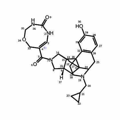 O=C1N/C=C(/C(=O)N2C[C@H]3CC45CCC2C3C42CCN(CC3CC3)C5Cc3ccc(O)cc32)COCN1